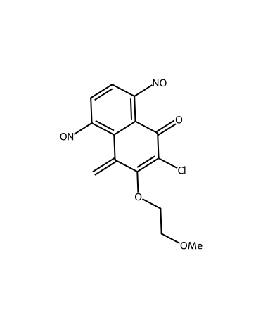 C=C1C(OCCOC)=C(Cl)C(=O)c2c(N=O)ccc(N=O)c21